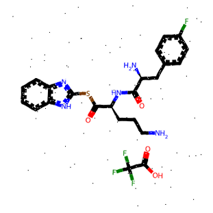 NCCC[C@H](NC(=O)[C@@H](N)Cc1ccc(F)cc1)C(=O)Sc1nc2ccccc2[nH]1.O=C(O)C(F)(F)F